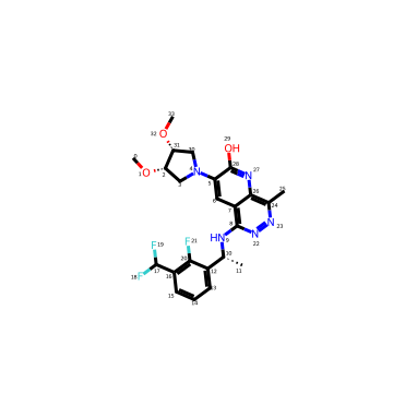 CO[C@H]1CN(c2cc3c(N[C@H](C)c4cccc(C(F)F)c4F)nnc(C)c3nc2O)C[C@H]1OC